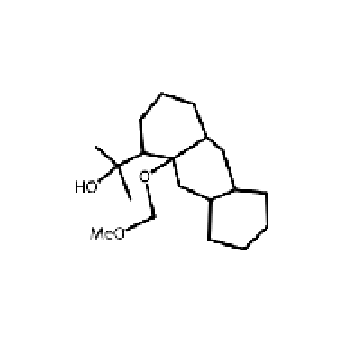 COCOC12CC3CCCCC3CC1CCCC2C(C)(C)O